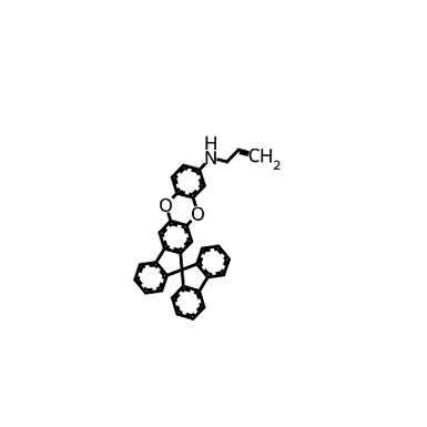 C=CCNc1ccc2c(c1)Oc1cc3c(cc1O2)-c1ccccc1C31c2ccccc2-c2ccccc21